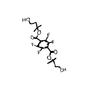 CC(C)(CCO)OC(=O)c1c(F)c(F)c(C(=O)OC(C)(C)CCO)c(F)c1F